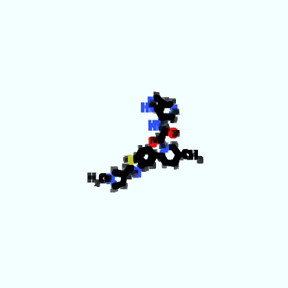 C[C@H]1CCC(c2ccc3sc(C4CCN(C)C4)nc3c2)N(C(=O)C(=O)Nc2cncc3cn[nH]c23)C1